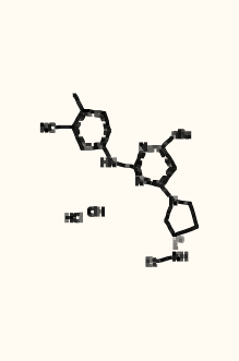 CCCCc1cc(N2CC[C@H](NCC)C2)nc(Nc2ccc(C)c(C#N)c2)n1.Cl.Cl